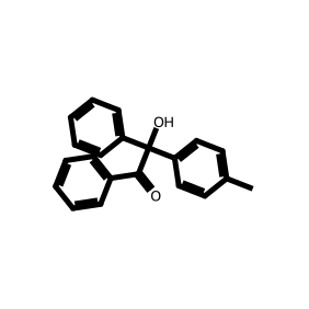 Cc1ccc(C(O)(C(=O)c2ccccc2)c2ccccc2)cc1